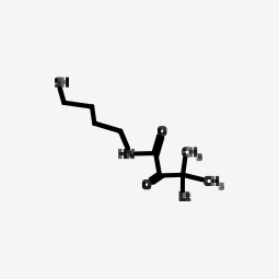 CCC(C)(C)C(=O)C(=O)NCCCCS